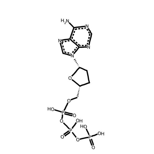 Nc1ncnc2c1ncn2[C@@H]1CC[C@H](COP(=O)(O)OP(=O)(O)OP(=O)(O)O)O1